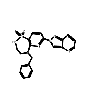 O=S1(=O)NCCN(Cc2ccccc2)c2nc(-n3cc4ncccc4n3)ccc21